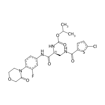 CC(C)OC(=O)N[C@@H](CNC(=O)c1ccc(Cl)s1)C(=O)Nc1ccc(N2CCOCC2=O)c(F)c1